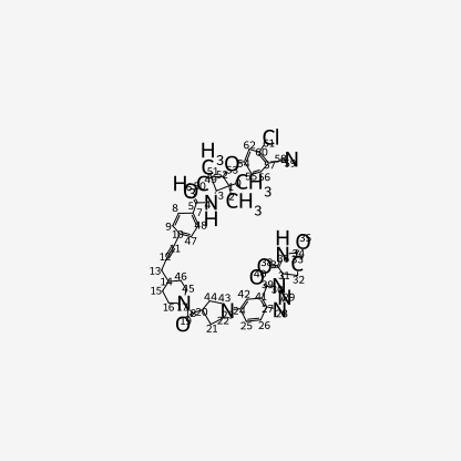 CC1(C)[C@H](NC(=O)c2ccc(C#CCC3CCN(C(=O)C4CCN(c5ccc6nnn(C7CCC(=O)NC7=O)c(=O)c6c5)CC4)CC3)cc2)C(C)(C)[C@H]1Oc1ccc(C#N)c(Cl)c1